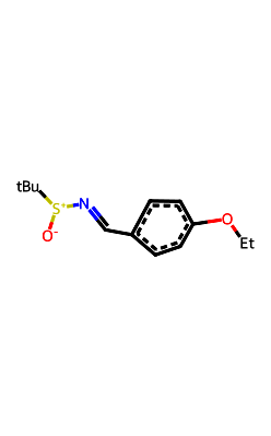 CCOc1ccc(/C=N/[S+]([O-])C(C)(C)C)cc1